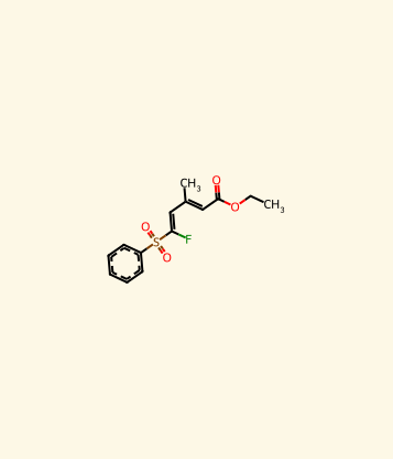 CCOC(=O)C=C(C)C=C(F)S(=O)(=O)c1ccccc1